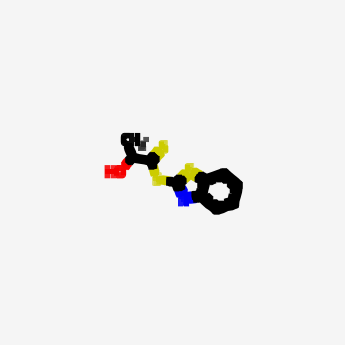 [CH2]C(O)C(=S)Sc1nc2ccccc2s1